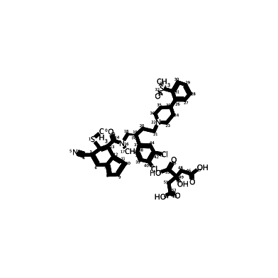 CSc1c(C#N)cc2ccccc2c1C(=O)N(C)C[C@@H](CCN1CCC(c2ccccc2[S+](C)[O-])CC1)c1ccc(Cl)c(Cl)c1.O=C(O)CC(O)(CC(=O)O)C(=O)O